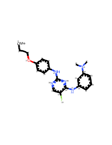 COCCOc1ccc(Nc2ncc(F)c(Nc3cccc(N(C)C)c3)n2)cc1